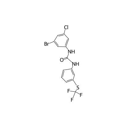 O=C(Nc1cc(Cl)cc(Br)c1)Nc1cccc(SC(F)(F)F)c1